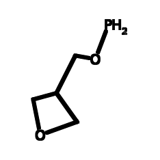 POCC1COC1